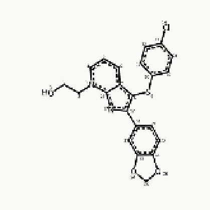 OCCn1cccc2c(Sc3ccc(Cl)cc3)c(-c3ccc4c(c3)OCO4)nc1-2